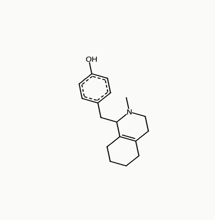 CN1CCC2=C(CCCC2)C1Cc1ccc(O)cc1